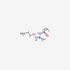 CCCONC(=N)NC(C)=O